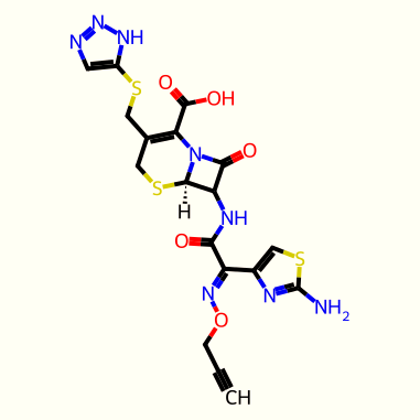 C#CCO/N=C(/C(=O)NC1C(=O)N2C(C(=O)O)=C(CSc3cnn[nH]3)CS[C@H]12)c1csc(N)n1